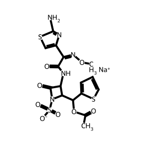 CON=C(C(=O)NC1C(=O)N(S(=O)(=O)[O-])C1C(OC(C)=O)c1cccs1)c1csc(N)n1.[Na+]